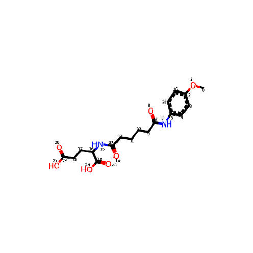 COc1ccc(NC(=O)CCCCC(=O)NC(CCC(=O)O)C(=O)O)cc1